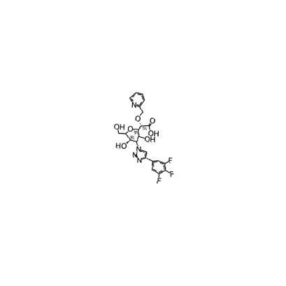 O=C(O)[C@@H](OCc1ccccn1)[C@@H]1OC(CO)[C@H](O)C(n2cc(-c3cc(F)c(F)c(F)c3)nn2)C1O